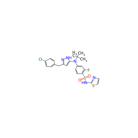 CC(C)(C)N(c1ccc(S(=O)(=O)Nc2nccs2)c(F)c1)c1cc(Cc2ccc(Cl)cc2)n[nH]1